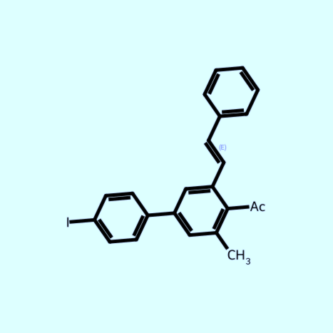 CC(=O)c1c(C)cc(-c2ccc(I)cc2)cc1/C=C/c1ccccc1